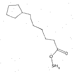 O=C(CCCCCC1CCCC1)O[SiH3]